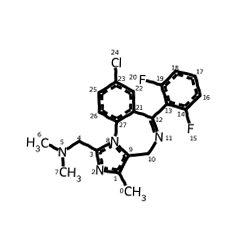 Cc1nc(CN(C)C)n2c1CN=C(c1c(F)cccc1F)c1cc(Cl)ccc1-2